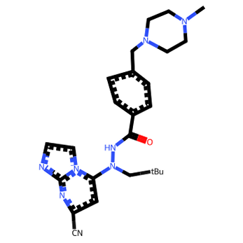 CN1CCN(Cc2ccc(C(=O)NN(CC(C)(C)C)c3cc(C#N)nc4nccn34)cc2)CC1